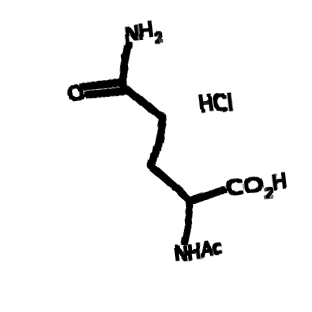 CC(=O)NC(CCC(N)=O)C(=O)O.Cl